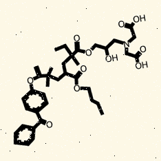 C=C(Oc1ccc(C(=O)c2ccccc2)cc1)C(C)(C)CC(CC(C)(CC)C(=O)OCC(O)CN(CC(=O)O)CC(=O)O)C(=O)OCCCC